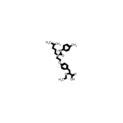 CCOC(Cc1ccc(OCCN(CCCC(C)C)C(=O)Nc2ccc(C)cc2)cc1)C(=O)O